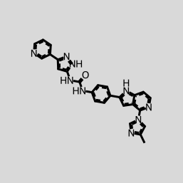 Cc1cn(-c2nccc3[nH]c(-c4ccc(NC(=O)Nc5cc(-c6cccnc6)n[nH]5)cc4)cc23)cn1